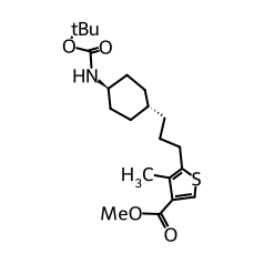 COC(=O)c1csc(CCC[C@H]2CC[C@H](NC(=O)OC(C)(C)C)CC2)c1C